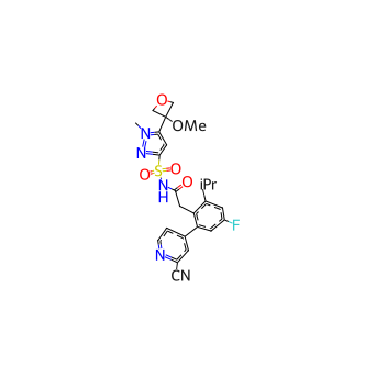 COC1(c2cc(S(=O)(=O)NC(=O)Cc3c(-c4ccnc(C#N)c4)cc(F)cc3C(C)C)nn2C)COC1